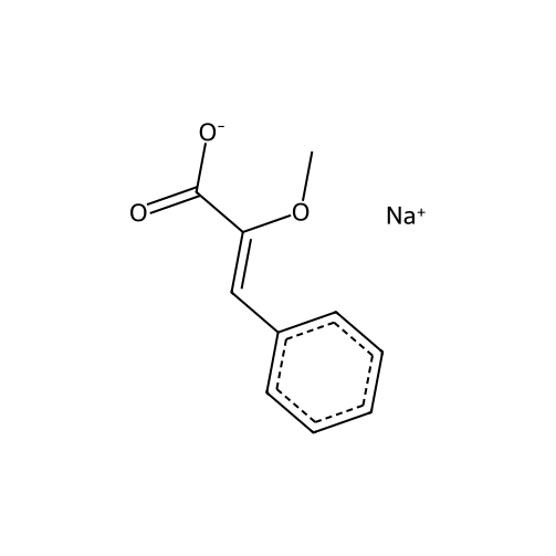 COC(=Cc1ccccc1)C(=O)[O-].[Na+]